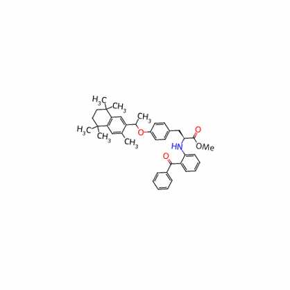 COC(=O)[C@H](Cc1ccc(OC(C)c2cc3c(cc2C)C(C)(C)CCC3(C)C)cc1)Nc1ccccc1C(=O)c1ccccc1